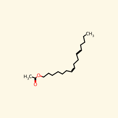 CCCCC=CCC/C=C\CCCCCCOC(C)=O